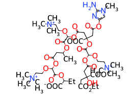 CCOC(=O)CC(O)(CC(=O)OC(OCC[N+](C)(C)C)C(=O)OC(CC(=O)Oc1cn(C)c(N)n1)(CC(=O)OC(OCC[N+](C)(C)C)C(=O)OC(C)CC(=O)OC(OCC[N+](C)(C)C)C(=O)OC(CC)C(=O)[O-])C(=O)[O-])C(=O)[O-]